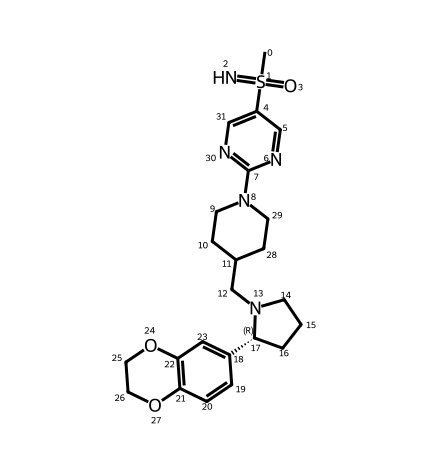 CS(=N)(=O)c1cnc(N2CCC(CN3CCC[C@@H]3c3ccc4c(c3)OCCO4)CC2)nc1